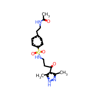 CC(=O)NCCc1ccc(S(=O)(=O)NCCC(=O)c2c(C)n[nH]c2C)cc1